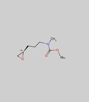 CN(CCC[C@@H]1CO1)C(=O)OC(C)(C)C